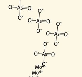 O=[As]([O-])([O-])[O-].O=[As]([O-])([O-])[O-].O=[As]([O-])([O-])[O-].O=[As]([O-])([O-])[O-].[Mo+4].[Mo+4].[Mo+4]